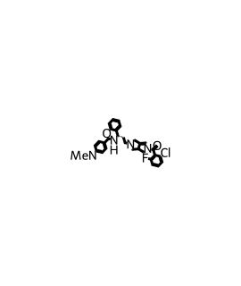 CNc1ccc(C(=O)N[C@@H](CCN2CC3=CN(C(=O)c4c(F)cccc4Cl)CC3C2)c2ccccc2)cc1